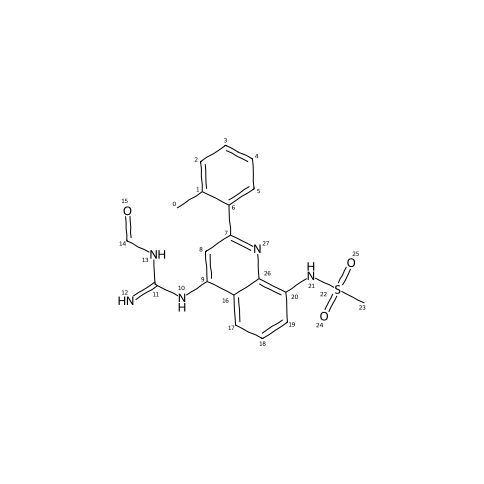 Cc1ccccc1-c1cc(NC(=N)NC=O)c2cccc(NS(C)(=O)=O)c2n1